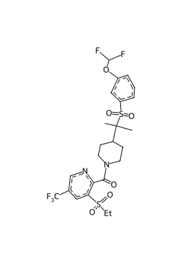 CCS(=O)(=O)c1cc(C(F)(F)F)cnc1C(=O)N1CCC(C(C)(C)S(=O)(=O)c2cccc(OC(F)F)c2)CC1